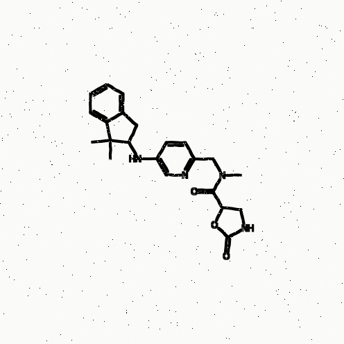 CN(Cc1ccc(NC2Cc3ccccc3C2(C)C)cn1)C(=O)C1CNC(=O)O1